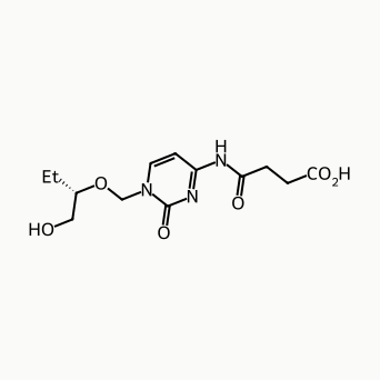 CC[C@@H](CO)OCn1ccc(NC(=O)CCC(=O)O)nc1=O